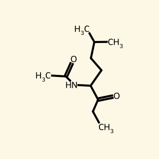 CCC(=O)C(CCC(C)C)NC(C)=O